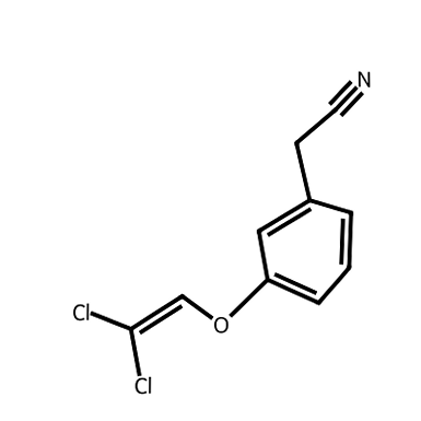 N#CCc1cccc(OC=C(Cl)Cl)c1